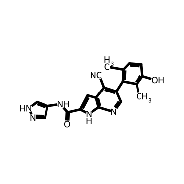 Cc1ccc(O)c(C)c1-c1cnc2[nH]c(C(=O)Nc3cn[nH]c3)cc2c1C#N